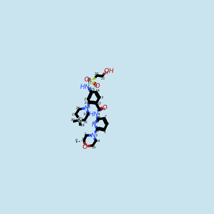 C[C@@H]1CN(c2cccc(NC(=O)c3ccc(NS(=O)(=O)CCO)cc3N3CC[Si](C)(C)CC3)n2)CCO1